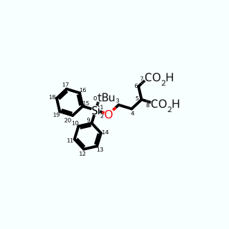 CC(C)(C)[Si](OCCC(CC(=O)O)C(=O)O)(c1ccccc1)c1ccccc1